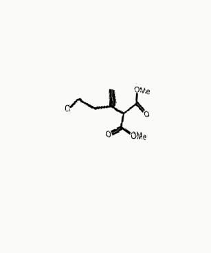 C=C(CCCl)C(C(=O)OC)C(=O)OC